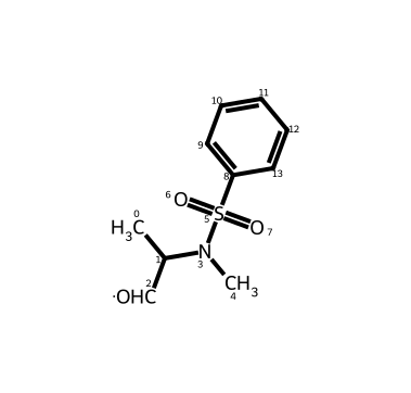 CC([C]=O)N(C)S(=O)(=O)c1ccccc1